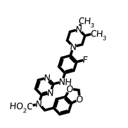 CC1CN(c2ccc(Nc3nccc(N(Cc4ccc5c(c4)OCO5)C(=O)O)n3)cc2F)CCN1C